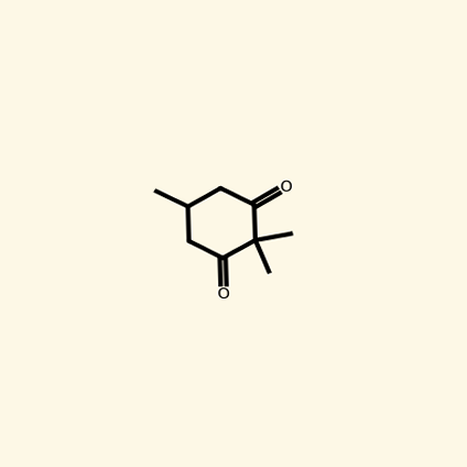 CC1CC(=O)C(C)(C)C(=O)C1